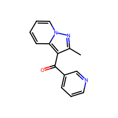 Cc1nn2ccccc2c1C(=O)c1cccnc1